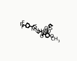 COc1ccc(C(=O)NC2CCN(c3nc(-c4ccc(C(F)(F)F)cc4)cs3)C2)c(NS(=O)(=O)c2cccs2)c1